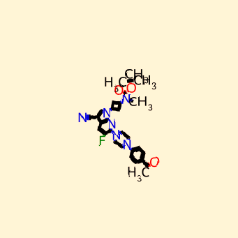 CC(=O)c1ccc(N2CCN(c3nc4c(cc3F)c(C#N)cn4C3CC(N(C)C(=O)OC(C)(C)C)C3)CC2)cc1